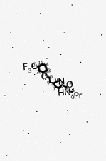 CC(C)CNC(=O)c1ccc(CCOc2cccc(C(F)(F)F)c2)cn1